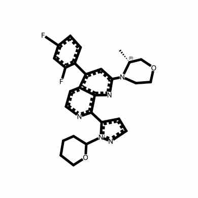 C[C@@H]1COCCN1c1cc(-c2ccc(F)cc2F)c2ccnc(-c3ccnn3C3CCCCO3)c2n1